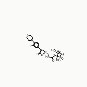 CC(SC(=O)NC[C@H]1CN(c2ccc(N3CCSCC3)c(F)c2)C(=O)O1)([PH](=O)O)P(=O)(O)O